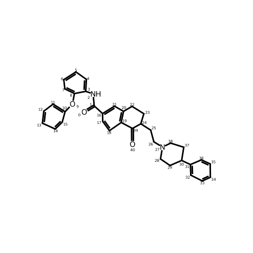 O=C(Nc1ccccc1Oc1ccccc1)c1ccc2c(c1)CCC(CCN1CCC(c3ccccc3)CC1)C2=O